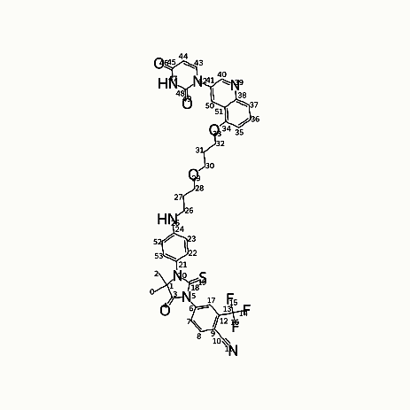 CC1(C)C(=O)N(c2ccc(C#N)c(C(F)(F)F)c2)C(=S)N1c1ccc(NCCCOCCCOc2cccc3ncc(-n4ccc(=O)[nH]c4=O)cc23)cc1